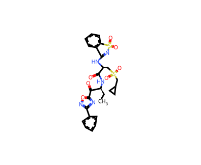 CC[C@H](NC(=O)[C@H](CS(=O)(=O)CC1CC1)NC1=NS(=O)(=O)c2ccccc21)C(=O)c1nc(-c2ccccc2)no1